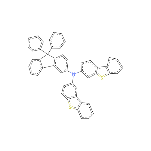 c1ccc(C2(c3ccccc3)c3ccccc3-c3cc(N(c4ccc5c(c4)sc4ccccc45)c4ccc5sc6ccccc6c5c4)ccc32)cc1